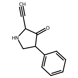 C#CC1NCC(c2ccccc2)C1=O